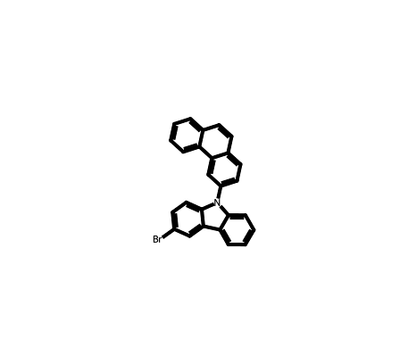 Brc1ccc2c(c1)c1ccccc1n2-c1ccc2ccc3ccccc3c2c1